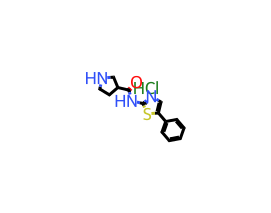 Cl.O=C(Nc1ncc(-c2ccccc2)s1)C1CCNC1